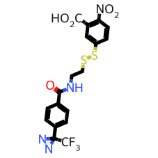 O=C(NCCSSc1ccc([N+](=O)[O-])c(C(=O)O)c1)c1ccc(C2(C(F)(F)F)N=N2)cc1